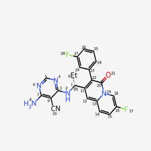 CC[C@@H](Nc1ncnc(N)c1C#N)c1cc2ccc(F)cn2c(=O)c1-c1cccc(F)c1